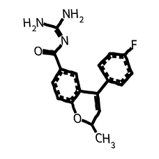 CC1C=C(c2ccc(F)cc2)c2cc(C(=O)N=C(N)N)ccc2O1